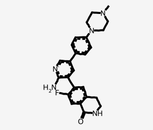 CN1CCN(c2ccc(-c3cnc(N)c(-c4cc5c(cc4F)C(=O)NCC5)c3)cc2)CC1